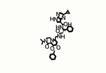 CC(C)N1CCn2c(CNC(=O)C[C@H](NC(O)c3c[nH]c4ncc(C5CC5)nc34)c3ccccc3)cc(=O)c(OCc3ccccc3)c2C1=O